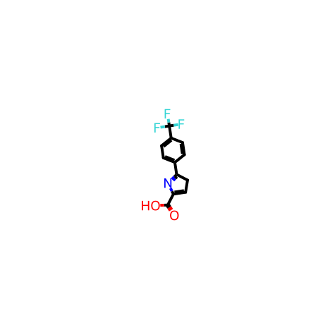 O=C(O)C1=CCC(c2ccc(C(F)(F)F)cc2)=N1